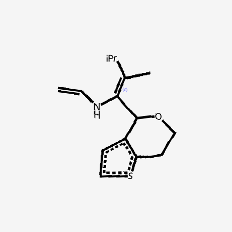 C=CN/C(=C(/C)C(C)C)C1OCCc2sccc21